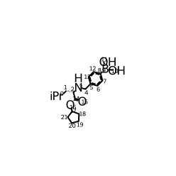 CC(C)C[C@H](NCc1ccc(B(O)O)cc1)C(=O)OC1CCCC1